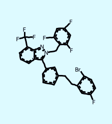 Fc1cc(F)c(Cn2nc3c(C(F)(F)F)cccc3c2-c2cccc(CCc3cc(F)ccc3Br)c2)c(F)c1